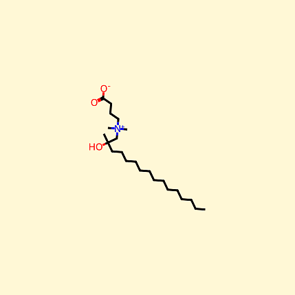 CCCCCCCCCCCCCCC(C)(O)C[N+](C)(C)CCCC(=O)[O-]